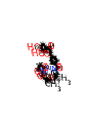 CC(C)(CNC(=O)c1ccc(-c2cc(=O)c3ccc(O)c(O)c3o2)cc1)COCC(C)(C)CC(=O)ON1C(=O)CCC1=O